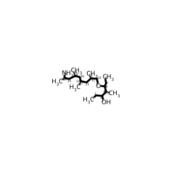 CCC(O)[C@H](C)C(CC)OC[C@H](C)C[C@@H](C)C[C@H](C)C[C@H](C)N